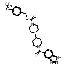 O=C(OCc1ccc(OC(F)(F)F)cc1)N1CCN(C2CCN(C(=O)c3ccc4[nH]nnc4c3)CC2)CC1